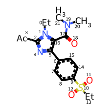 CCn1c(C(C)=O)nc(-c2ccc(S(=O)(=O)CC)cc2)c1C(=O)N(C)C